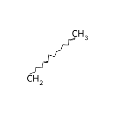 C=CCCCC=CCCCCCCC=CC